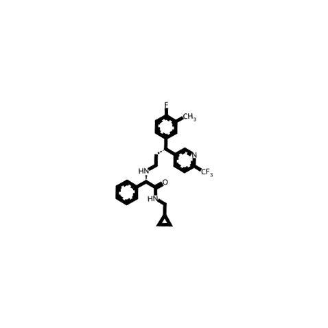 Cc1cc([C@@H](CCN[C@H](C(=O)NCC2CC2)c2ccccc2)c2ccc(C(F)(F)F)nc2)ccc1F